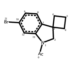 CC(=O)N1CC2(CCC2)c2ccc(Br)cc21